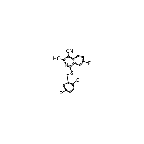 N#Cc1c(O)nc(SCc2cc(F)ccc2Cl)c2cc(F)ccc12